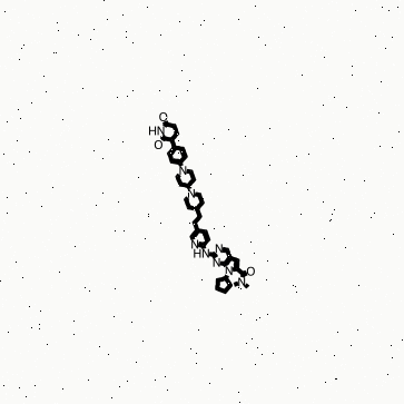 CN(C)C(=O)c1cc2cnc(Nc3ccc(CCC4CCN(C5CCN(c6ccc(C7CCC(=O)NC7=O)cc6)CC5)CC4)cn3)nc2n1C1CCCC1